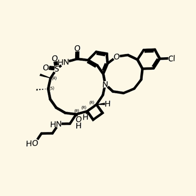 C[C@@H]1[C@@H](C)CCC[C@](O)(CNCCO)[C@@H]2CC[C@H]2CN2CCCCC3C=C(Cl)C=CC3COc3ccc(cc32)C(=O)NS1(=O)=O